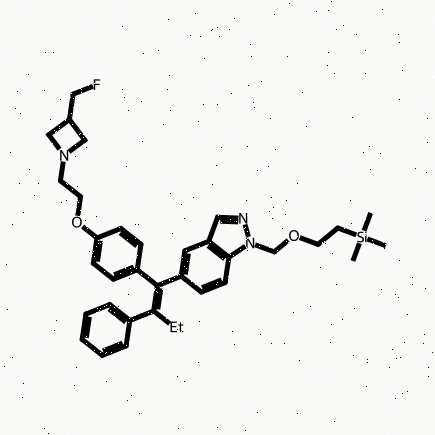 CC/C(=C(/c1ccc(OCCN2CC(CF)C2)cc1)c1ccc2c(cnn2COCC[Si](C)(C)C)c1)c1ccccc1